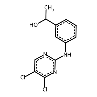 CC(O)c1cccc(Nc2ncc(Cl)c(Cl)n2)c1